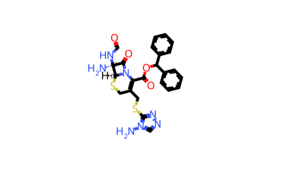 Nn1cnnc1SCC1=C(C(=O)OC(c2ccccc2)c2ccccc2)N2C(=O)[C@](N)(NC=O)[C@@H]2SC1